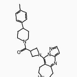 Cc1ccc(C2CCN(C(=O)C3CN(c4c5c(nc6ccnn46)CCNCC5)C3)CC2)cc1